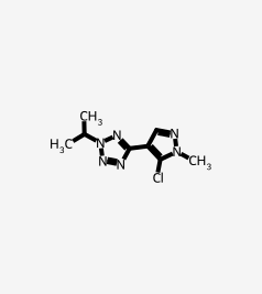 CC(C)n1nnc(-c2cnn(C)c2Cl)n1